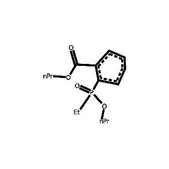 CCCOC(=O)c1ccccc1P(=O)(CC)OCCC